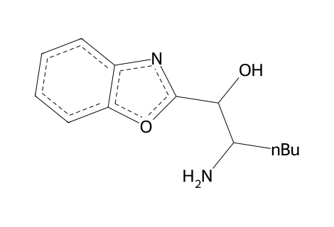 CCCCC(N)C(O)c1nc2ccccc2o1